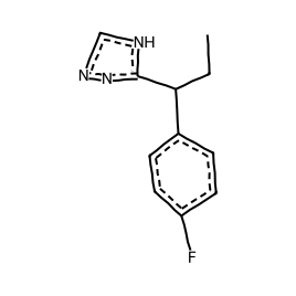 CCC(c1ccc(F)cc1)c1nnc[nH]1